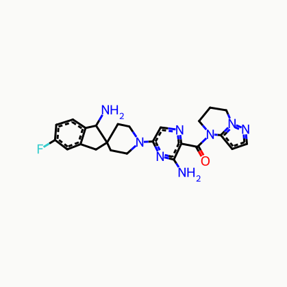 Nc1nc(N2CCC3(CC2)Cc2cc(F)ccc2C3N)cnc1C(=O)N1CCCn2nccc21